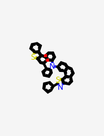 c1ccc(-c2nc3ccc4ccc5ccc(N(c6ccccc6)c6ccccc6-c6ccc7c(c6)sc6ccccc67)cc5c4c3s2)cc1